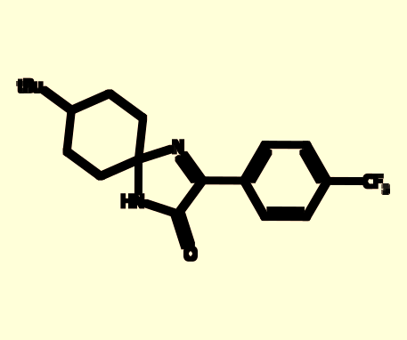 CC(C)(C)C1CCC2(CC1)N=C(c1ccc(C(F)(F)F)cc1)C(=O)N2